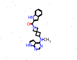 CN(c1ncnc2[nH]ccc12)C1CC2(C1)CN(C(=O)c1cc3ccccc3[nH]1)C2